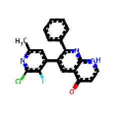 Cc1cc(-c2cc3c(=O)cc[nH]c3nc2-c2ccccc2)c(F)c(Cl)n1